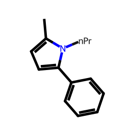 [CH2]CCn1c(C)ccc1-c1ccccc1